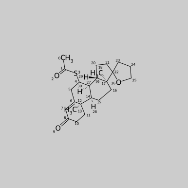 CC(=O)SC1CC2=CC(=O)CC[C@]2(C)[C@@H]2CC[C@@]3(C)[C@@H](CCC34CCCO4)[C@H]12